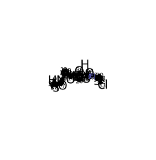 Cc1ccsc1C(=O)NC[C@H]1CCCN1C(=O)CN1CCC[C@H](NS(=O)(=O)/C=C/c2ccc(Cl)s2)C1=O